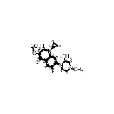 CC1CN(C)CCN1c1cc2c(cc1F)c(=O)c(OC(=O)O)cn2C1CC1